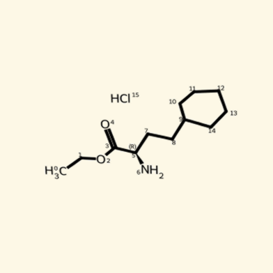 CCOC(=O)[C@H](N)CCC1CCCCC1.Cl